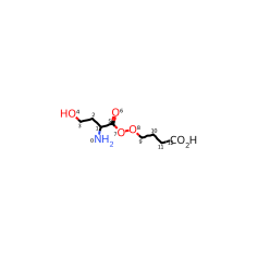 NC(CCO)C(=O)OOCCCC(=O)O